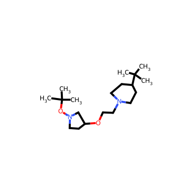 CC(C)(C)ON1CCC(OCCN2CCC(C(C)(C)C)CC2)C1